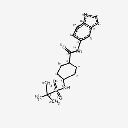 CC(C)(C)S(=O)(=O)NC1CCC(C(=O)Nc2ccc3ncsc3c2)CC1